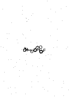 C[C@@H]1CCCN1CCCOc1ccc2c(c1)CCC(=O)N2c1cccc(F)c1